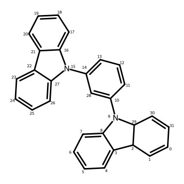 C1=CC2c3ccccc3N(c3cccc(-n4c5ccccc5c5ccccc54)c3)C2C=C1